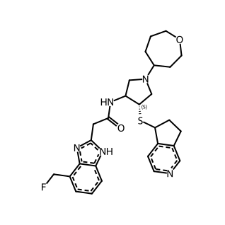 O=C(Cc1nc2c(CF)cccc2[nH]1)NC1CN(C2CCCOCC2)C[C@@H]1SC1CCc2cnccc21